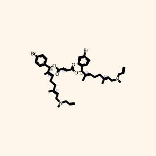 C=CCN(C)C/C=C(\C)CC/C=C(\C)[C@H](OC(=O)/C=C/C(=O)O[C@@H](/C(C)=C/CC/C(C)=C/CN(C)CC=C)c1ccc(Br)cc1)c1ccc(Br)cc1